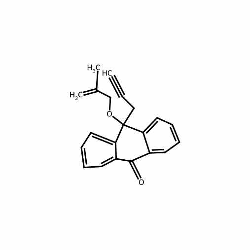 C#CCC1(OCC(=C)C)c2ccccc2C(=O)c2ccccc21